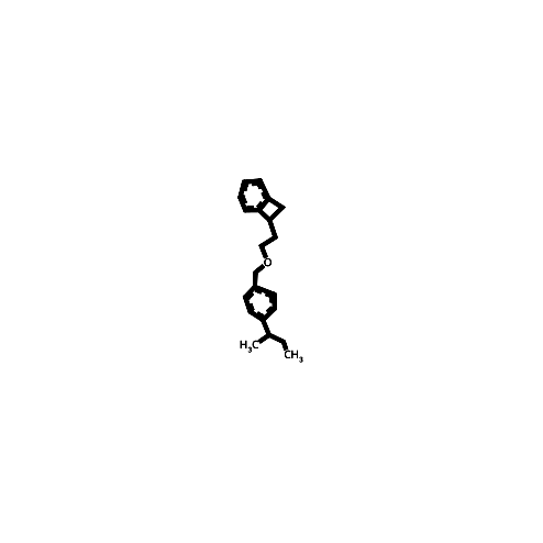 CCC(C)c1ccc(COCCC2Cc3ccccc32)cc1